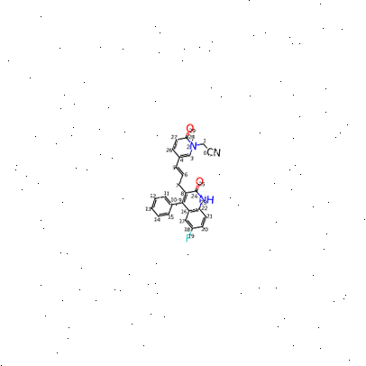 N#CCn1cc(/C=C/Cc2c(-c3ccccc3)c3cc(F)ccc3[nH]c2=O)ccc1=O